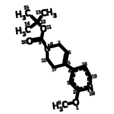 COc1cc(C2=CCN(C(=O)OC(C)(C)C)CC2)ccn1